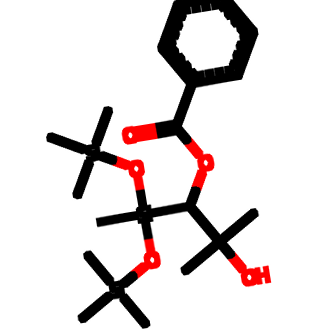 CC(C)(O)C(OC(=O)c1ccccc1)[Si](C)(O[Si](C)(C)C)O[Si](C)(C)C